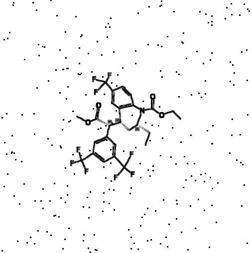 CCOC(=O)N1c2ccc(C(F)(F)F)cc2[C@@H]([C@@H](C(=O)OC)c2cc(C(F)(F)F)cc(C(F)(F)F)c2)C[C@H]1CC